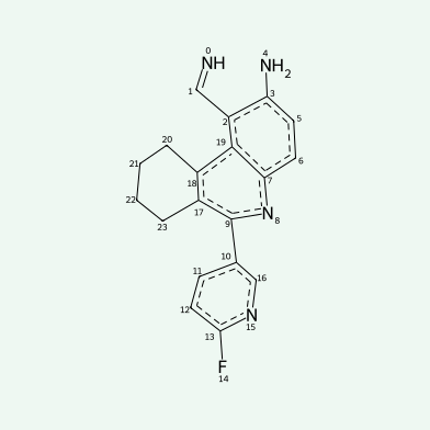 N=Cc1c(N)ccc2nc(-c3ccc(F)nc3)c3c(c12)CCCC3